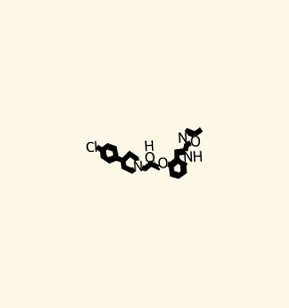 Cc1cnc(-c2cc3c(OC[C@@H](O)CN4CCC(c5ccc(Cl)cc5)CC4)cccc3[nH]2)o1